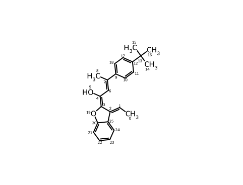 CC=c1/c(=C(O)\C=C(/C)c2ccc(C(C)(C)C)cc2)oc2ccccc12